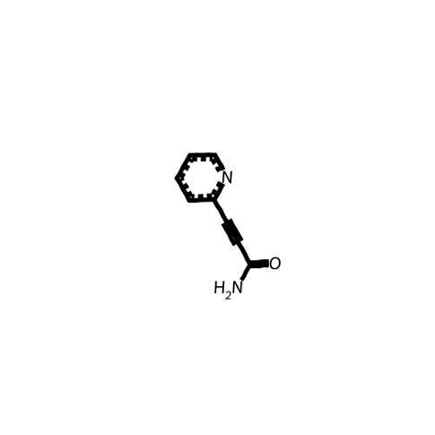 NC(=O)C#Cc1ccccn1